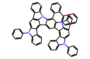 c1ccc(-c2ccccc2-c2c3c(cc4c5c6c7ccccc7n(-c7ccccc7)c6cc6c7ccccc7n(c24)c65)c2c4c5ccccc5n(-c5ccccc5)c4cc4c5ccccc5n3c42)cc1